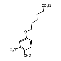 CCOC(=O)CCCCCOc1ccc(C=O)c([N+](=O)[O-])c1